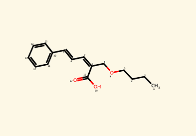 CCCCOCC(=CC=Cc1ccccc1)C(=O)O